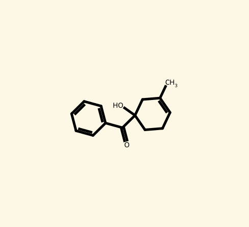 CC1=CCCC(O)(C(=O)c2ccccc2)C1